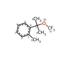 Cc1ccccc1C(C)(C)OC(F)(F)F